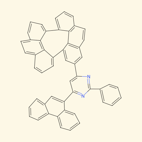 c1ccc(-c2nc(-c3cc4ccc5cccc6c7cccc8ccc9cccc(c(c3)c4c56)c9c87)cc(-c3cc4ccccc4c4ccccc34)n2)cc1